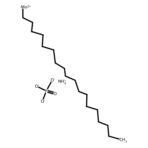 CCCCCCCCCCCCCCCCC[CH2][Mo+2].O=P([O-])([O-])[O-].[NH4+]